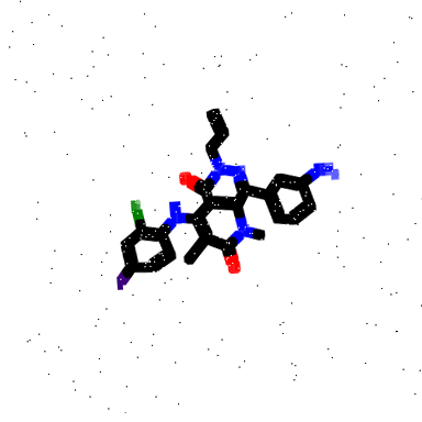 C=CCn1nc(-c2cccc(N)c2)c2c(c(Nc3ccc(I)cc3F)c(C)c(=O)n2C)c1=O